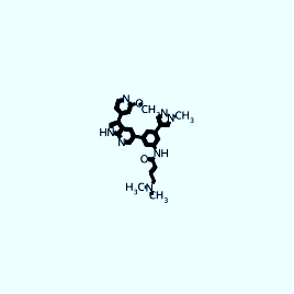 COc1cc(-c2c[nH]c3ncc(-c4cc(NC(=O)/C=C/CN(C)C)cc(-c5cnn(C)c5)c4)cc23)ccn1